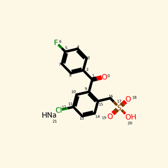 O=C(c1ccc(F)cc1)c1cc(Cl)ccc1CS(=O)(=O)O.[NaH]